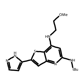 COCCNc1cc(NC(C)(C)C)nc2cc(-c3ccn[nH]3)sc12